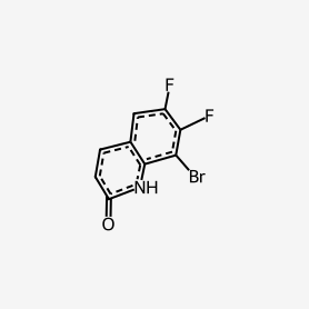 O=c1ccc2cc(F)c(F)c(Br)c2[nH]1